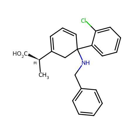 C[C@@H](C(=O)O)C1=CC=CC(NCc2ccccc2)(c2ccccc2Cl)C1